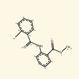 COC(=O)c1ccccc1NC(=O)c1ccccc1I